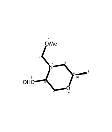 COCN1C[C@@H](C)OCC1C=O